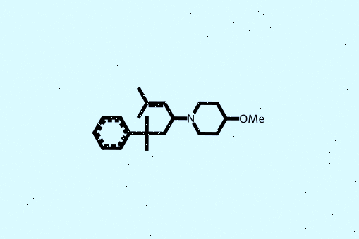 COC1CCN(C(C=C(C)C)CC(C)(C)c2ccccc2)CC1